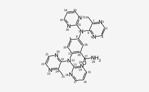 Cc1nccnc1N(c1ccc(N(c2ncccn2)c2nccnc2C)c(C(N)=O)c1)c1ncccn1